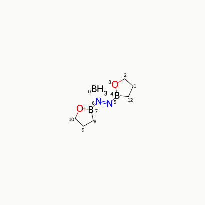 B.C1COB(N=NB2CCCO2)C1